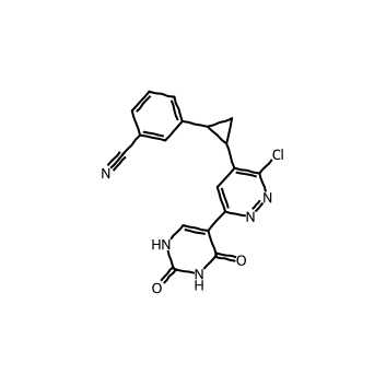 N#Cc1cccc(C2CC2c2cc(-c3c[nH]c(=O)[nH]c3=O)nnc2Cl)c1